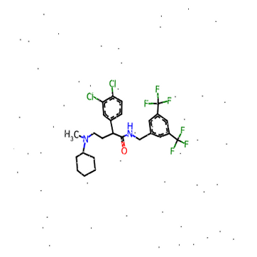 CN(CCC(C(=O)NCc1cc(C(F)(F)F)cc(C(F)(F)F)c1)c1ccc(Cl)c(Cl)c1)C1CCCCC1